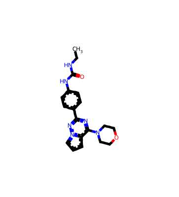 CCNC(=O)Nc1ccc(-c2nc(N3CCOCC3)c3cccn3n2)cc1